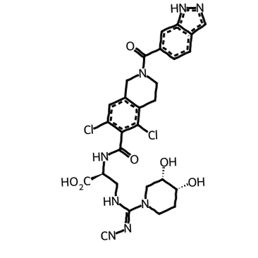 [C-]#[N+]/N=C(\NC[C@H](NC(=O)c1c(Cl)cc2c(c1Cl)CCN(C(=O)c1ccc3cn[nH]c3c1)C2)C(=O)O)N1CC[C@@H](O)[C@@H](O)C1